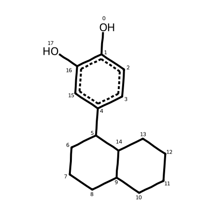 Oc1ccc(C2CCCC3CCCCC32)cc1O